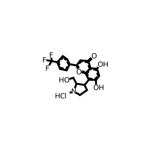 CN1CCC(c2c(O)cc(O)c3c(=O)cc(-c4ccc(C(F)(F)F)cc4)oc23)C1CO.Cl